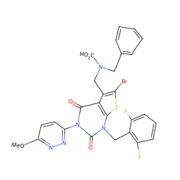 COc1ccc(-n2c(=O)c3c(CN(Cc4ccccc4)C(=O)O)c(Br)sc3n(Cc3c(F)cccc3F)c2=O)nn1